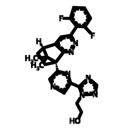 CC1(C)[C@H]2CC[C@]1(c1cncc(-c3ncnn3CCO)n1)c1nnc(-c3c(F)cccc3F)cc12